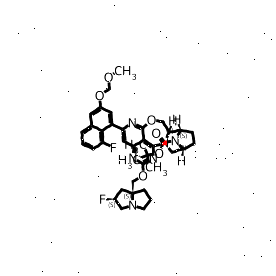 COCOc1cc(-c2cc3nc(OC[C@@]45CCCN4C[C@@H](F)C5)nc4c3c(n2)OC[C@@H]2[C@@H]3CC[C@H](CN42)N3C(=O)OC(C)(C)C)c2c(F)cccc2c1